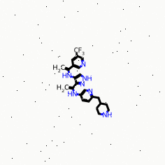 C=C(Nc1c[nH]nc1C(=C)Nc1ccc(CC2CCNCC2)nc1)c1cncc(C(F)(F)F)c1